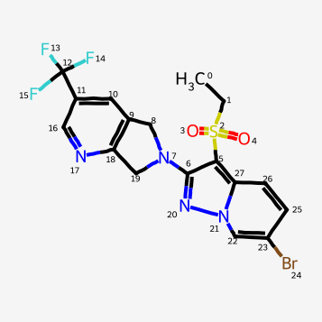 CCS(=O)(=O)c1c(N2Cc3cc(C(F)(F)F)cnc3C2)nn2cc(Br)ccc12